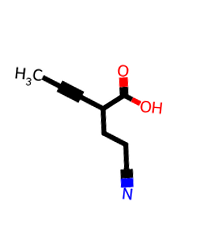 CC#CC(CCC#N)C(=O)O